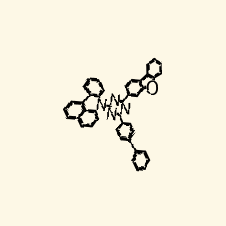 c1ccc(-c2ccc(-c3nc(-c4ccc5c(c4)oc4ccccc45)nc(N4c5ccccc5-c5cccc6cccc4c56)n3)cc2)cc1